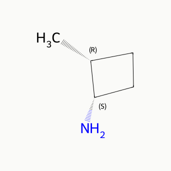 C[C@@H]1CC[C@@H]1N